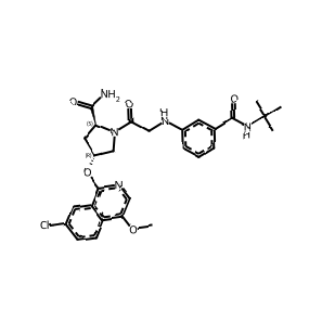 COc1cnc(O[C@@H]2C[C@@H](C(N)=O)N(C(=O)CNc3cccc(C(=O)NC(C)(C)C)c3)C2)c2cc(Cl)ccc12